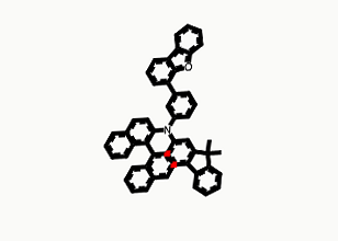 CC1(C)c2ccccc2-c2ccc(N(c3cccc(-c4cccc5c4oc4ccccc45)c3)c3ccc4ccccc4c3-c3cccc4ccccc34)cc21